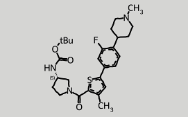 Cc1cc(-c2ccc(C3CCN(C)CC3)c(F)c2)sc1C(=O)N1CC[C@H](NC(=O)OC(C)(C)C)C1